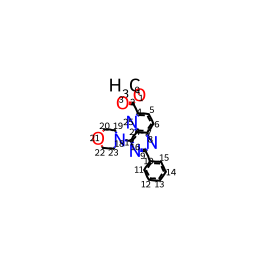 COC(=O)c1ccc2nc(-c3ccccc3)nc(N3CCOCC3)c2n1